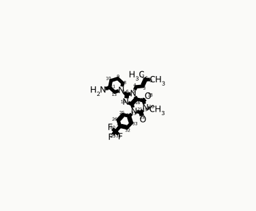 CC(C)=CCn1c(N2CCCC(N)C2)nc2c1c(=O)n(C)c(=O)n2-c1ccc(C(F)(F)F)cc1